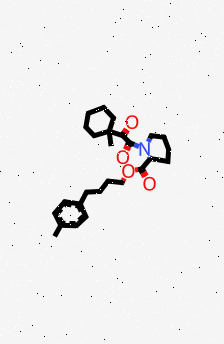 Cc1ccc(CCCCOC(=O)C2CCCCN2C(=O)C(=O)C2(C)CCCCC2)cc1